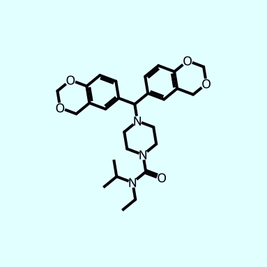 CCN(C(=O)N1CCN(C(c2ccc3c(c2)COCO3)c2ccc3c(c2)COCO3)CC1)C(C)C